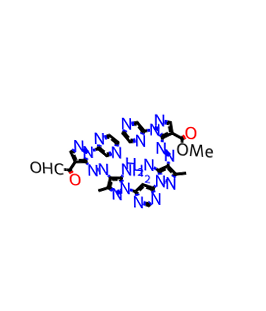 COC(=O)c1cnn(-c2cnccn2)c1/N=N/c1c(C)nn(-c2cc(-n3nc(C)c(/N=N/c4c(C(=O)C=O)cnn4-c4cnccn4)c3N)ncn2)c1N